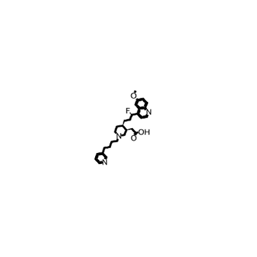 COc1ccc2nccc([C@@H](F)CC[C@@H]3CCN(CCCCc4cccnc4)C[C@@H]3CC(=O)O)c2c1